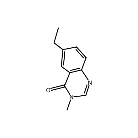 CCc1ccc2ncn(C)c(=O)c2c1